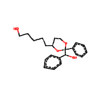 OCCCCCC1CCOC(c2ccccc2)(C(O)c2ccccc2)O1